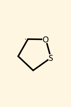 [CH]1CCSO1